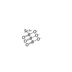 O=B[O-].O=B[O-].O=B[O-].[Sc+3]